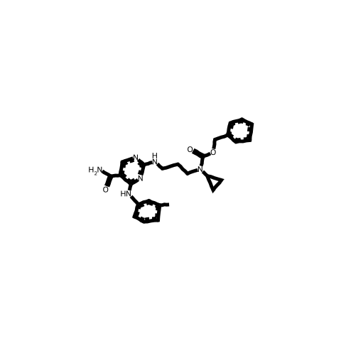 Cc1cccc(Nc2nc(NCCCN(C(=O)OCc3ccccc3)C3CC3)ncc2C(N)=O)c1